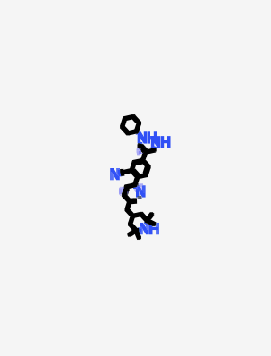 C=C(/C=C\C(=N/C)c1ccc(/C(C=N)=C/NC2CCCCC2)cc1C#N)CC1CC(C)(C)NC(C)(C)C1